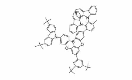 Cc1ccc(-c2ccc3c(c2)Oc2cc(-c4cc(C(C)(C)C)cc(C(C)(C)C)c4)cc4c2B3c2ccc(-n3c5ccc(C(C)(C)C)cc5c5cc(C(C)(C)C)ccc53)cc2O4)c(-n2c3ccccc3c3ccccc32)c1-n1c2ccccc2c2ccccc21